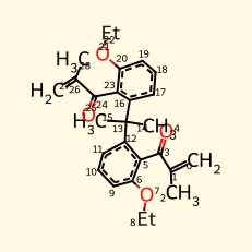 C=C(C)C(=O)c1c(OCC)cccc1C(C)(C)c1cccc(OCC)c1C(=O)C(=C)C